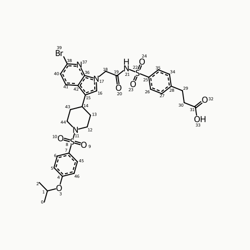 CC(C)Oc1ccc(S(=O)(=O)N2CCC(c3cn(CC(=O)NS(=O)(=O)c4ccc(CCC(=O)O)cc4)c4nc(Br)ccc34)CC2)cc1